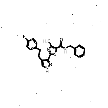 Cc1nc(-c2n[nH]cc2CCc2ccc(F)cc2)sc1C(=O)NCc1ccccc1